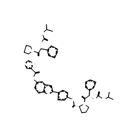 CC(C)OC(=O)N[C@@H](C(=O)N1CCC[C@H]1C(=O)Nc1ccc(-c2cc3cc(NC(=O)c4cnc([C@@H]5CCCN5C(=O)[C@H](NC(=O)OC(C)C)c5ccccc5)[nH]4)ccc3o2)cc1)c1ccccc1